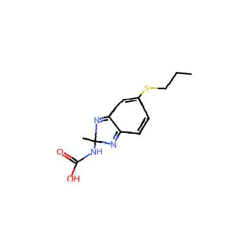 CCCSc1ccc2c(c1)=NC(C)(NC(=O)O)N=2